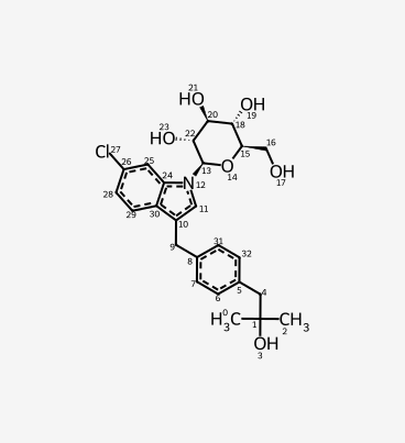 CC(C)(O)Cc1ccc(Cc2cn([C@@H]3O[C@H](CO)[C@@H](O)[C@H](O)[C@H]3O)c3cc(Cl)ccc23)cc1